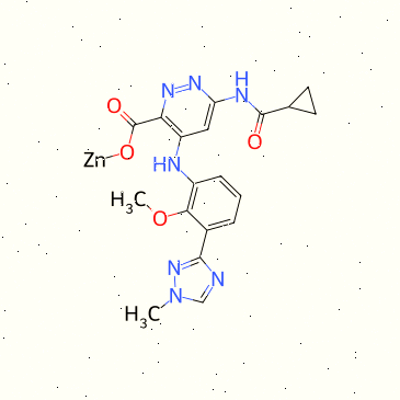 COc1c(Nc2cc(NC(=O)C3CC3)nnc2C(=O)[O][Zn])cccc1-c1ncn(C)n1